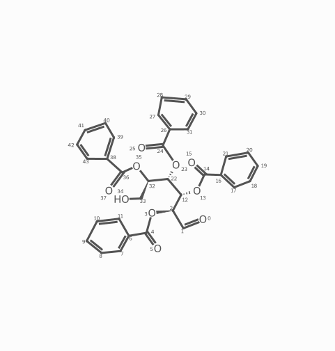 O=C[C@@H](OC(=O)c1ccccc1)[C@@H](OC(=O)c1ccccc1)[C@@H](OC(=O)c1ccccc1)[C@@H](CO)OC(=O)c1ccccc1